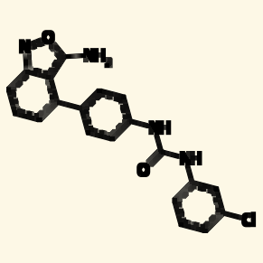 Nc1onc2cccc(-c3ccc(NC(=O)Nc4cccc(Cl)c4)cc3)c12